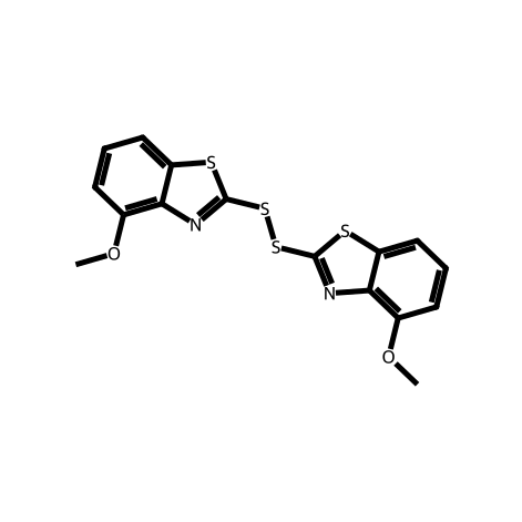 COc1cccc2sc(SSc3nc4c(OC)cccc4s3)nc12